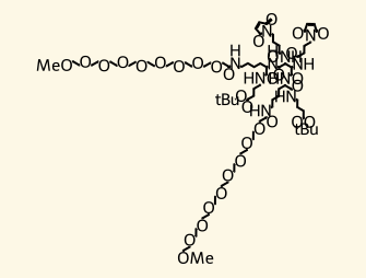 COCCOCCOCCOCCOCCOCCOCCOCCOCC(=O)NCCCCC(NC(=O)C(NC(=O)CCCN1C(=O)C=CC1=O)C(NC(=O)CCCN1C(=O)C=CC1=O)C(=O)NC(CCCCNC(=O)COCCOCCOCCOCCOCCOCCOCCOCCOC)C(=O)NCCCC(=O)OC(C)(C)C)C(=O)NCCCC(=O)OC(C)(C)C